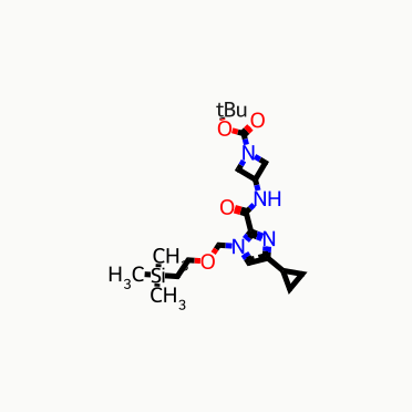 CC(C)(C)OC(=O)N1CC(NC(=O)c2nc(C3CC3)cn2COCC[Si](C)(C)C)C1